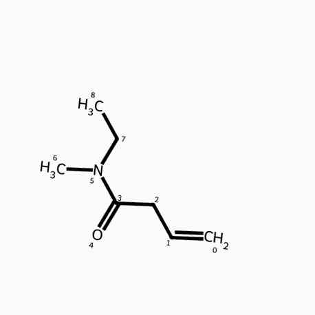 C=CCC(=O)N(C)CC